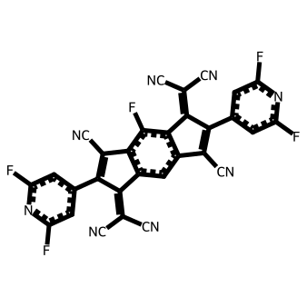 N#CC(C#N)=C1C(c2cc(F)nc(F)c2)=C(C#N)c2c1cc1c(c2F)C(=C(C#N)C#N)C(c2cc(F)nc(F)c2)=C1C#N